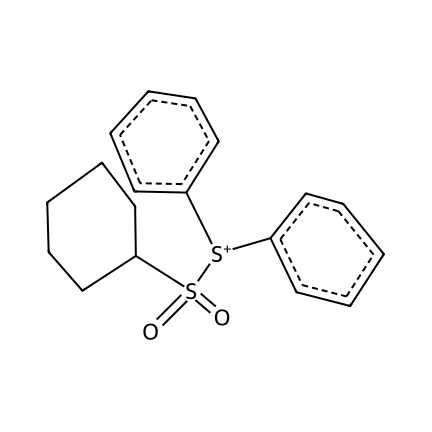 O=S(=O)(C1CCCCC1)[S+](c1ccccc1)c1ccccc1